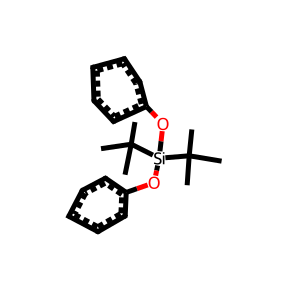 CC(C)(C)[Si](Oc1ccccc1)(Oc1ccccc1)C(C)(C)C